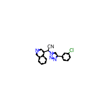 N#CC(c1cncc2ccccc12)n1cc(-c2cccc(Cl)c2)nn1